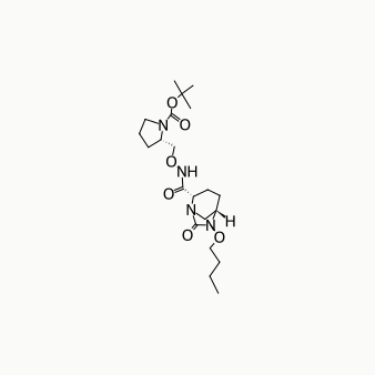 CCCCON1C(=O)N2C[C@@H]1CC[C@H]2C(=O)NOC[C@@H]1CCCN1C(=O)OC(C)(C)C